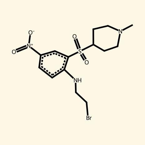 CN1CCC(S(=O)(=O)c2cc([N+](=O)[O-])ccc2NCCBr)CC1